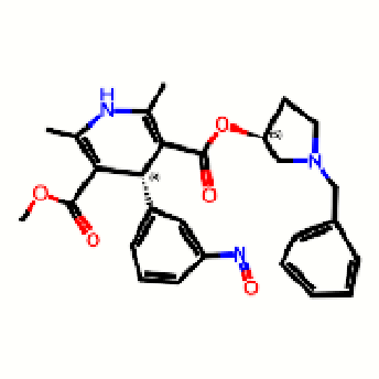 COC(=O)C1=C(C)NC(C)=C(C(=O)O[C@H]2CCN(Cc3ccccc3)C2)[C@@H]1c1cccc(N=O)c1